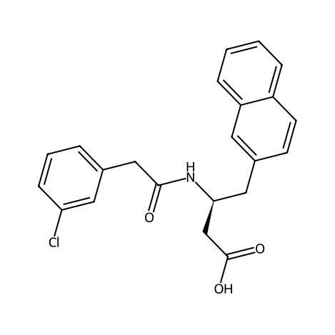 O=C(O)C[C@H](Cc1ccc2ccccc2c1)NC(=O)Cc1cccc(Cl)c1